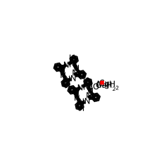 [Cu].[MgH2].[OH][GaH2].c1ccc2c(c1)-c1nc-2nc2[nH]c(nc3nc(nc4[nH]c(n1)c1ccccc41)-c1ccccc1-3)c1ccccc21.c1ccc2c(c1)-c1nc-2nc2[nH]c(nc3nc(nc4[nH]c(n1)c1ccccc41)-c1ccccc1-3)c1ccccc21